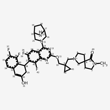 CN1CCC2(CCN(CC3(COc4nc(N5CC6CCC(C5)N6)c5cc(F)c(C6CC(O)=Cc7ccc(F)c(F)c76)c(F)c5n4)CC3)C2)C1=O